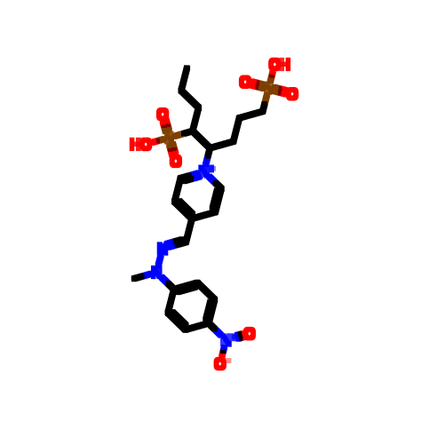 CCCC(C(CCCS(=O)(=O)O)[n+]1ccc(C=NN(C)c2ccc([N+](=O)[O-])cc2)cc1)S(=O)(=O)O